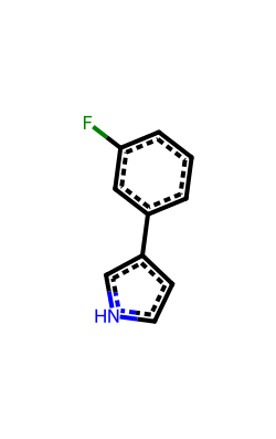 Fc1cccc(-c2cc[nH]c2)c1